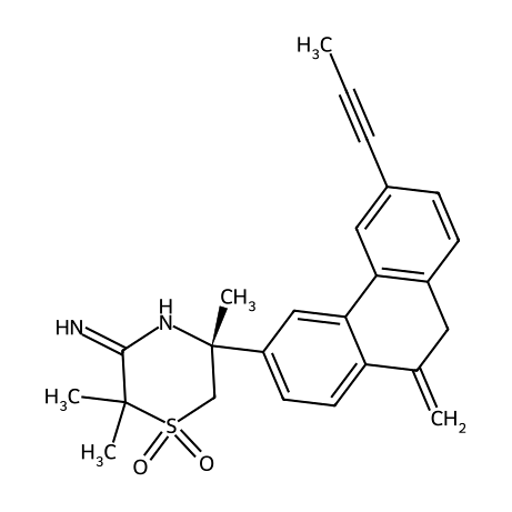 C=C1Cc2ccc(C#CC)cc2-c2cc([C@]3(C)CS(=O)(=O)C(C)(C)C(=N)N3)ccc21